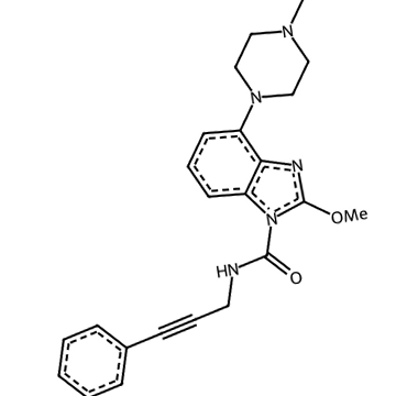 COc1nc2c(N3CCN(C)CC3)cccc2n1C(=O)NCC#Cc1ccccc1